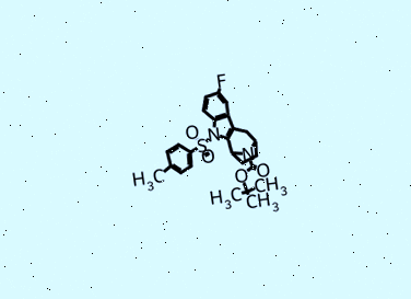 Cc1ccc(S(=O)(=O)n2c3c(c4cc(F)ccc42)CC2CCC3N2C(=O)OC(C)(C)C)cc1